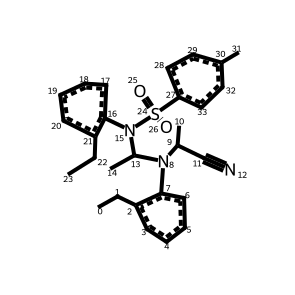 CCc1ccccc1N(C(C)C#N)C(C)N(c1ccccc1CC)S(=O)(=O)c1ccc(C)cc1